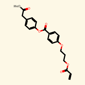 C=CC(=O)OCCCOc1ccc(C(=O)Oc2ccc(CC(=O)OC)cc2)cc1